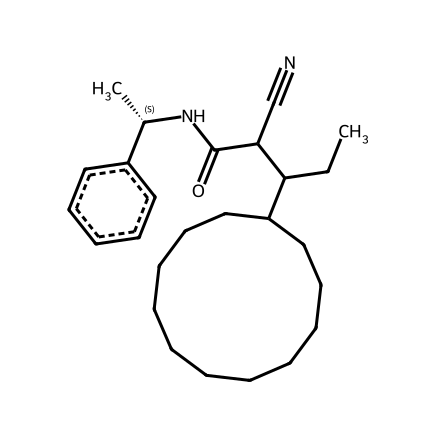 CCC(C1CCCCCCCCCCC1)C(C#N)C(=O)N[C@@H](C)c1ccccc1